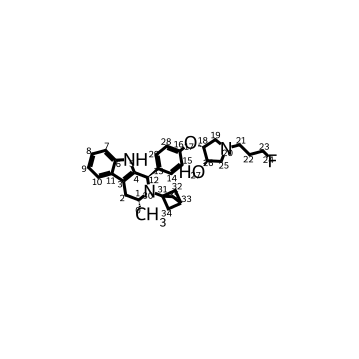 C[C@@H]1Cc2c([nH]c3ccccc23)[C@@H](c2ccc(O[C@@H]3CN(CCCF)C[C@H]3O)cc2)N1C12CC(C1)C2